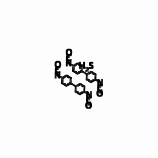 O=C=Nc1ccc(-c2ccc(N=C=O)cc2)cc1.O=C=Nc1ccc(-c2ccc(N=C=O)cc2)cc1.S